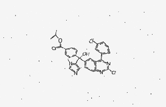 CC(C)OC(=O)c1ccc(C(O)(c2ccc3nc(Cl)nc(-c4cccc(Cl)c4)c3c2)c2cncn2C)cc1